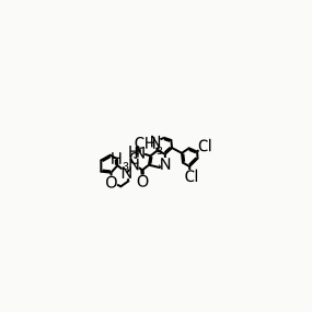 CN(C)c1c(C(=O)NN2CCOc3ccccc32)cnc2c(-c3cc(Cl)cc(Cl)c3)ccnc12